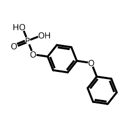 O=P(O)(O)Oc1ccc(Oc2ccccc2)cc1